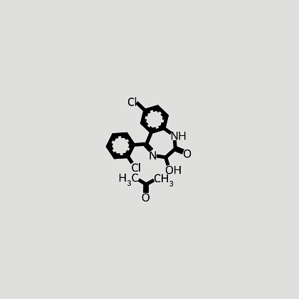 CC(C)=O.O=C1Nc2ccc(Cl)cc2C(c2ccccc2Cl)=NC1O